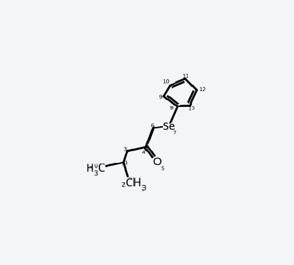 CC(C)CC(=O)C[Se]c1ccccc1